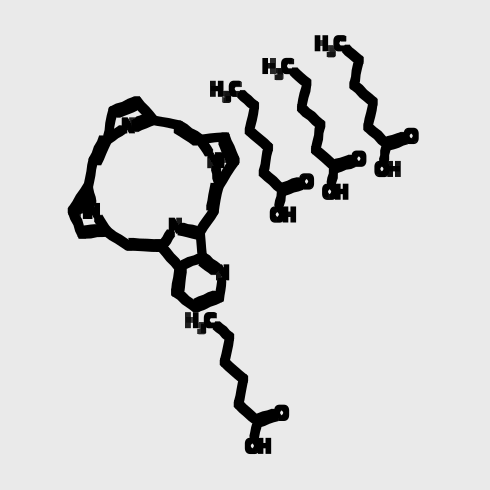 C1=Cc2cc3ccc(cc4nc(cc5ccc(cc1n2)[nH]5)-c1cccnc1-4)[nH]3.CCCCCC(=O)O.CCCCCC(=O)O.CCCCCC(=O)O.CCCCCC(=O)O